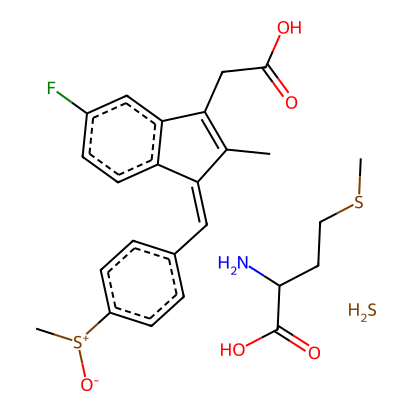 CC1=C(CC(=O)O)c2cc(F)ccc2/C1=C\c1ccc([S+](C)[O-])cc1.CSCCC(N)C(=O)O.S